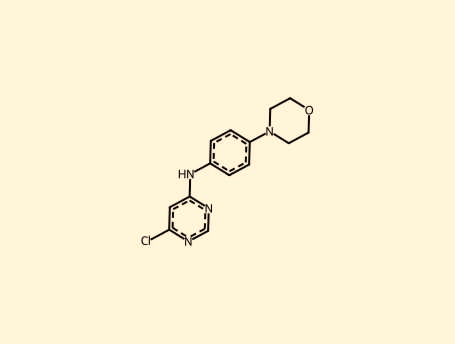 Clc1cc(Nc2ccc(N3CCOCC3)cc2)ncn1